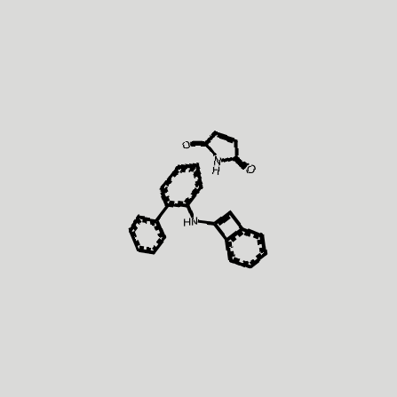 C1=C(Nc2ccccc2-c2ccccc2)c2ccccc21.O=C1C=CC(=O)N1